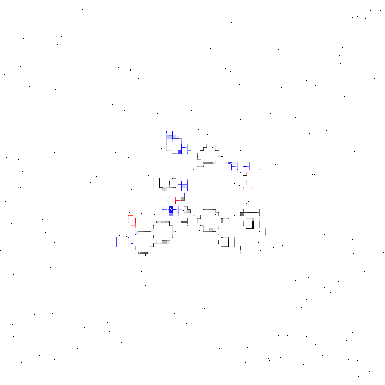 Cc1cc2ccc1[C@@H](C)COC(=O)Nc1ccc(-n3ccnc3)c(c1)CN(C)C(=O)[C@@H]2Nc1ccc2cc[nH]c(=O)c2c1